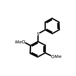 COc1ccc(OC)c(Sc2ccccc2)c1